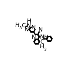 Cc1nc2cc(-c3nc4ccccc4c(NC(C)c4ccccc4)c3C#N)cnc2[nH]1